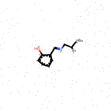 CCCCC(CC)C/N=C/c1ccccc1O